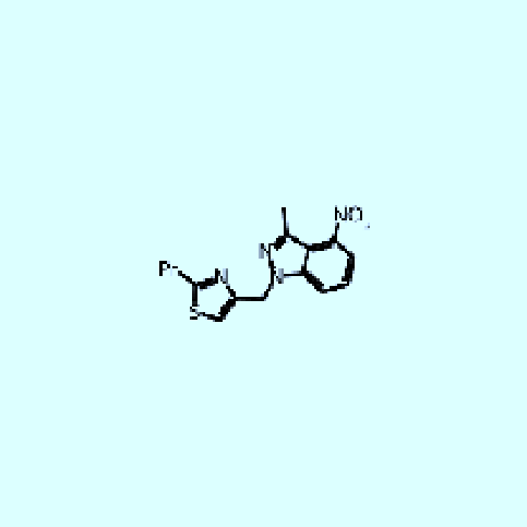 Cc1nn(Cc2csc(C(C)C)n2)c2cccc([N+](=O)[O-])c12